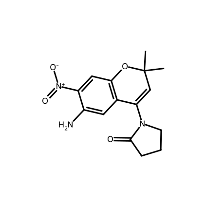 CC1(C)C=C(N2CCCC2=O)c2cc(N)c([N+](=O)[O-])cc2O1